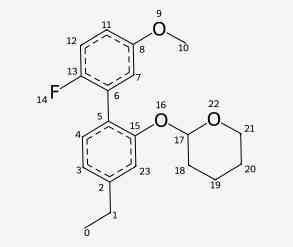 CCc1ccc(-c2cc(OC)ccc2F)c(OC2CCCCO2)c1